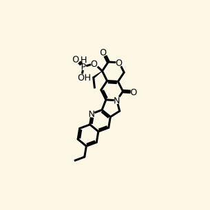 CCc1ccc2nc3c(cc2c1)Cn1c-3cc2c(c1=O)COC(=O)[C@@]2(CC)O[PH](=O)O